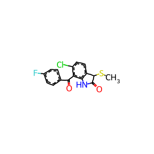 CSC1C(=O)Nc2c1ccc(Cl)c2C(=O)c1ccc(F)cc1